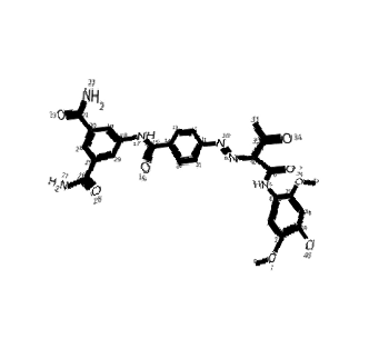 COc1cc(NC(=O)C(N=Nc2ccc(C(=O)Nc3cc(C(N)=O)cc(C(N)=O)c3)cc2)C(C)=O)c(OC)cc1Cl